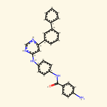 Nc1ccc(C(=O)Nc2ccc(Nc3cc(-c4cccc(-c5ccccc5)c4)ncn3)cc2)cc1